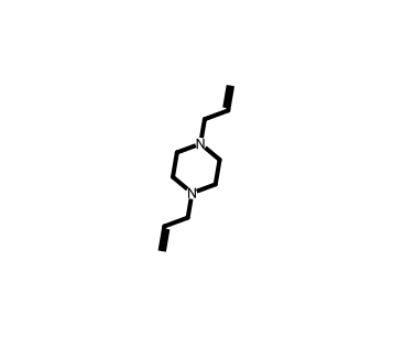 C=CCN1CCN(CC=C)CC1